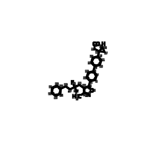 Cc1noc(-c2ccc(-c3ccc(C4(CC(=O)O)CC4)cc3)cc2)c1CC(F)(F)CCc1ccccc1